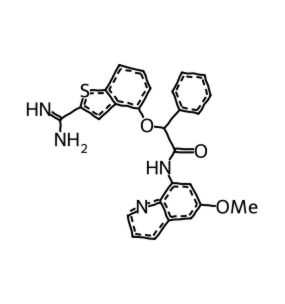 COc1cc(NC(=O)C(Oc2cccc3sc(C(=N)N)cc23)c2ccccc2)c2ncccc2c1